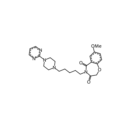 COc1ccc2c(c1)C(=O)N(CCCCCN1CCN(c3ncccn3)CC1)C(=O)CO2